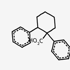 O=C(O)C1(c2ccccc2)CCCCC1c1ccccc1